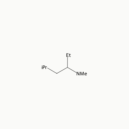 [CH2]NC(CC)CC(C)C